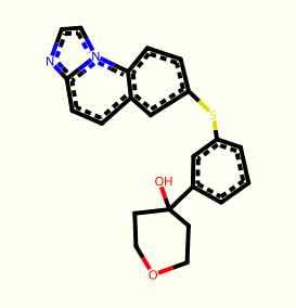 OC1(c2cccc(Sc3ccc4c(ccc5nccn54)c3)c2)CCOCC1